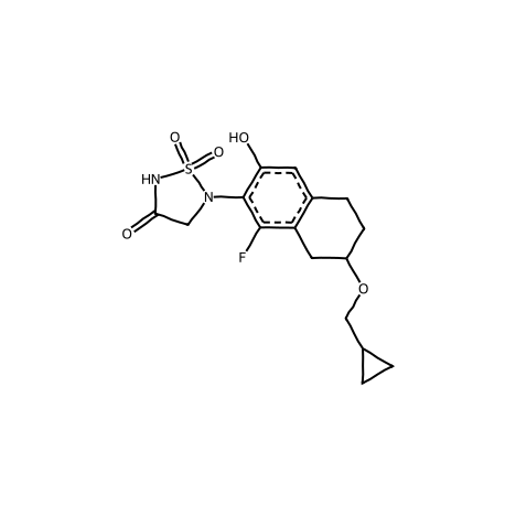 O=C1CN(c2c(O)cc3c(c2F)CC(OCC2CC2)CC3)S(=O)(=O)N1